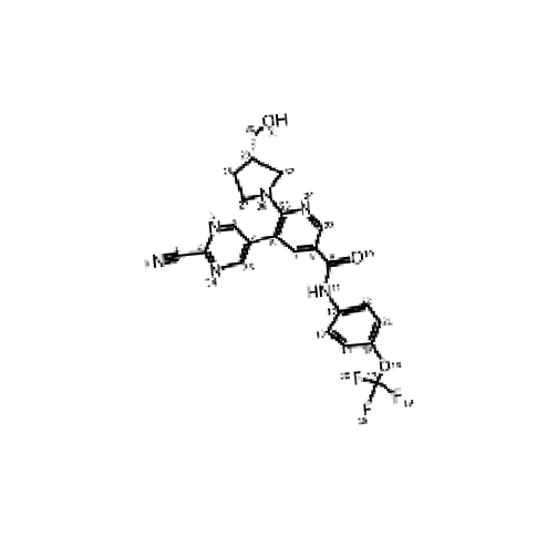 N#Cc1ncc(-c2cc(C(=O)Nc3ccc(OC(F)(F)F)cc3)cnc2N2CC[C@H](CO)C2)cn1